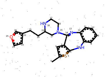 Cc1cc2c(s1)Nc1ccccc1N=C2N1CCNC(CCc2ccoc2)C1